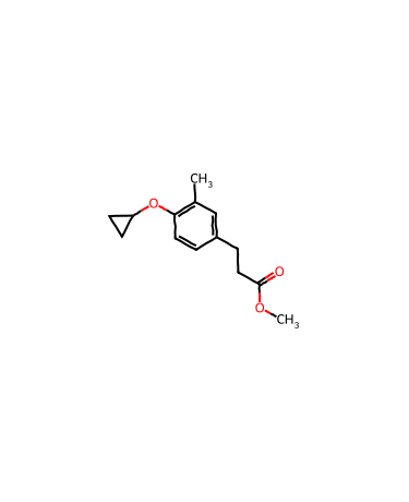 COC(=O)CCc1ccc(OC2CC2)c(C)c1